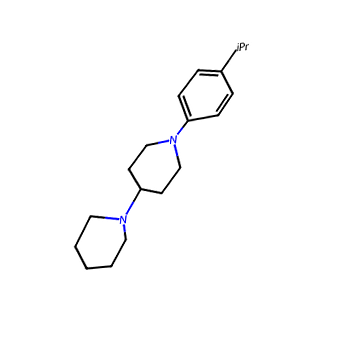 CC(C)c1ccc(N2CCC(N3CCCCC3)CC2)cc1